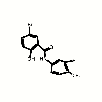 O=C(Nc1ccc(C(F)(F)F)c(F)c1)c1cc(Br)ccc1O